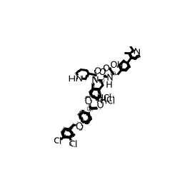 Cc1nccc(-c2ccc(C[C@H](NC(=O)[C@@H]3Cc4cc5c(cc4CN3C(=O)C3CCCNC3)O[C@@H](c3ccc(OCc4ccc(Cl)c(Cl)c4)cc3)CO5)C(=O)O)cc2)c1C.Cl.Cl